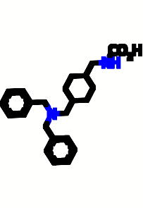 O=C(O)NCC1CCC(CN(Cc2ccccc2)Cc2ccccc2)CC1